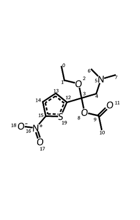 CCOC(CN(C)C)(OC(C)=O)c1ccc([N+](=O)[O-])s1